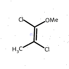 CO/C(Cl)=C(/C)Cl